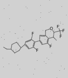 CCC1CCC(c2cc(F)c(-c3cc(F)c4c(c3)COC(C(F)(F)F)C4C)c(F)c2)CC1